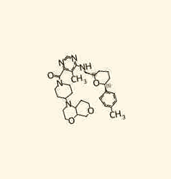 Cc1ccc([C@@H]2CCC[C@H](CNc3ncnc(C(=O)N4CCC(N5CCOC6COCCC65)CC4)c3C)O2)cc1